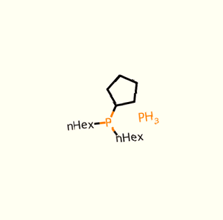 CCCCCCP(CCCCCC)C1CCCC1.P